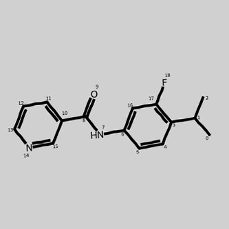 CC(C)c1ccc(NC(=O)c2cccnc2)cc1F